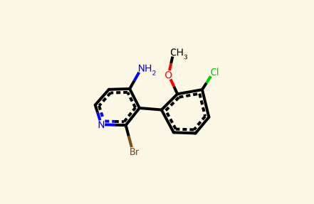 COc1c(Cl)cccc1-c1c(N)ccnc1Br